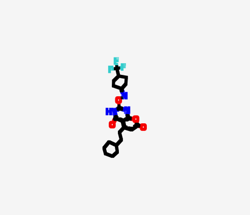 O=c1cc(CCC2CCCCC2)c2c(=O)[nH]c(ON=C3CCC(C(F)(F)F)CC3)nc2o1